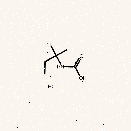 CCC(C)(Cl)NC(=O)O.Cl